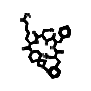 CC(=O)N1CC2(CCN(C(=O)[C@@H](CCCCNP)NC(=O)[C@@H](CC(C)C)NC(=O)[C@@H](Cc3ccccc3)NC(=O)[C@@H](Cc3ccccc3)NP)CC2)C1